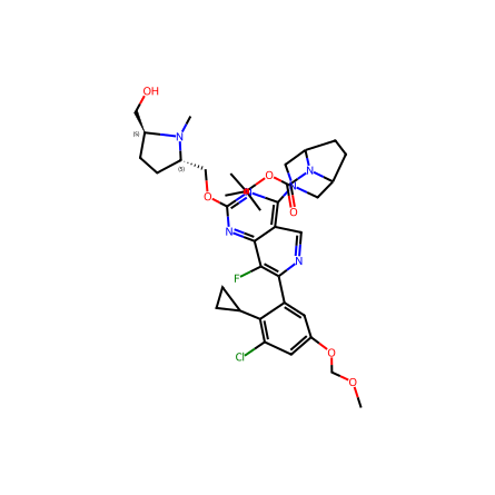 COCOc1cc(Cl)c(C2CC2)c(-c2ncc3c(N4CC5CCC(C4)N5C(=O)OC(C)(C)C)nc(OC[C@@H]4CC[C@@H](CO)N4C)nc3c2F)c1